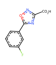 O=C(O)c1noc(-c2cccc(F)c2)n1